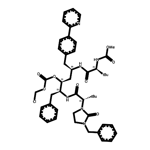 COC(=O)N[C@H](C(=O)N[C@H](Cc1ccc(-c2ccccn2)cc1)C[C@H](OC(=O)OCCl)[C@H](Cc1ccccc1)NC(=O)[C@@H](N1CCN(Cc2ccccc2)C1=O)C(C)(C)C)C(C)(C)C